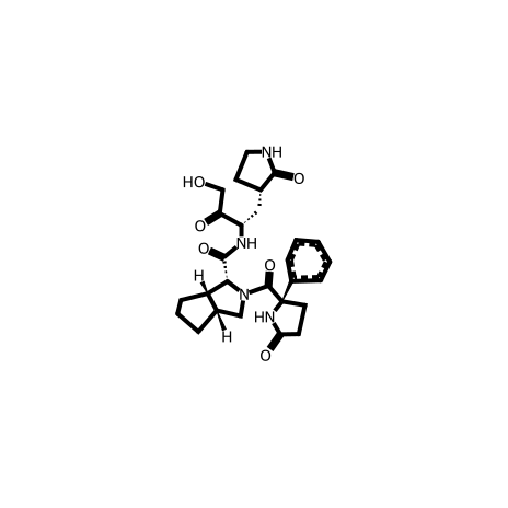 O=C1CC[C@](C(=O)N2C[C@@H]3CCC[C@@H]3[C@@H]2C(=O)N[C@@H](C[C@@H]2CCNC2=O)C(=O)CO)(c2ccccc2)N1